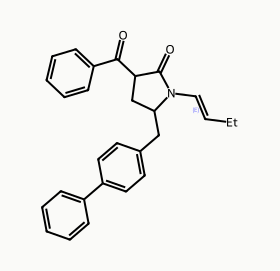 CC/C=C/N1C(=O)C(C(=O)c2ccccc2)CC1Cc1ccc(-c2ccccc2)cc1